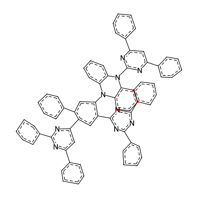 c1ccc(-c2cc(-c3cc(-c4nc(-c5ccccc5)nc(-c5ccccc5)n4)c(N4c5ccccc5N(c5nc(-c6ccccc6)cc(-c6ccccc6)n5)c5ccccc54)cc3-c3ccccc3)nc(-c3ccccc3)n2)cc1